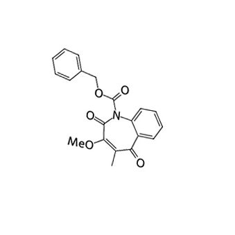 COc1c(C)c(=O)c2ccccc2n(C(=O)OCc2ccccc2)c1=O